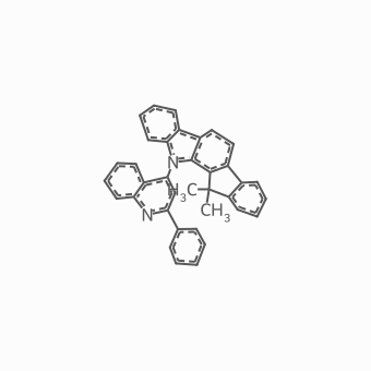 CC1(C)c2ccccc2-c2ccc3c4ccccc4n(-c4cc(-c5ccccc5)nc5ccccc45)c3c21